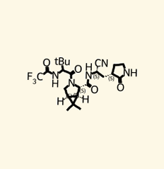 CC(C)(C)C(NC(=O)C(F)(F)F)C(=O)N1C[C@H]2[C@@H]([C@H]1C(=O)N[C@H](C#N)C[C@@H]1CCNC1=O)C2(C)C